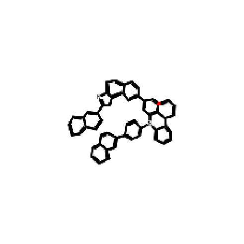 C1=CCC(c2ccccc2N(c2ccc(-c3ccc4ccccc4c3)cc2)c2cccc(-c3ccc4ccc5c(c4c3)CC(c3ccc4ccccc4c3)=N5)c2)C=C1